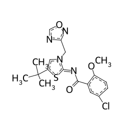 COc1ccc(Cl)cc1C(=O)N=c1sc(C(C)(C)C)cn1Cc1ncon1